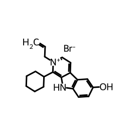 C=CC[n+]1ccc2c([nH]c3ccc(O)cc32)c1C1CCCCC1.[Br-]